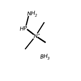 B.C[N+](C)(C)PN